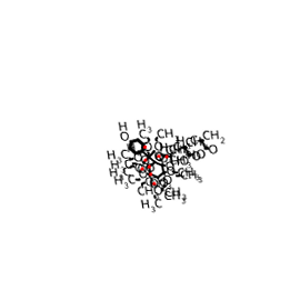 C=C(C)C(=O)O.C=C(C)C(=O)O.CCOOC1(OCC)C(OCC)(OCC)C(OCC)(OCC)C(OCC)(C(c2ccc(O)cc2)(C(OCC)(OCC)OCC)C(OCC)(OCC)OCC)C(OCC)(OCC)C1(OCC)OCC